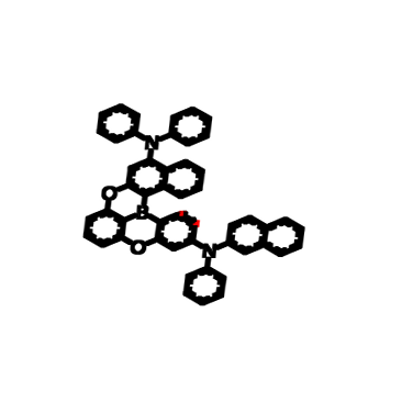 c1ccc(N(c2ccccc2)c2cc3c(c4ccccc24)B2c4c(cccc4Oc4cc(N(c5ccccc5)c5ccc6ccccc6c5)c5ccccc5c42)O3)cc1